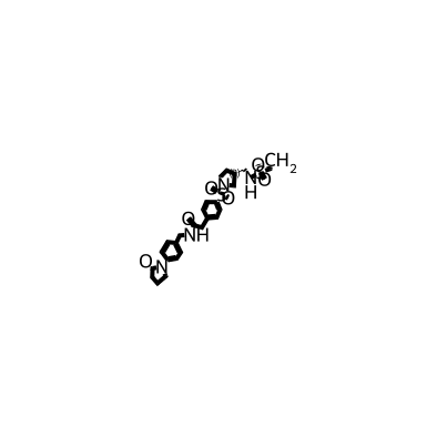 C=CS(=O)(=O)NC[C@H]1CCN(S(=O)(=O)c2ccc(CC(=O)NCc3ccc(N4CCCC4=O)cc3)cc2)C1